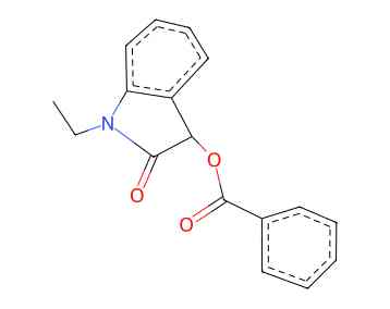 CCN1C(=O)C(OC(=O)c2ccccc2)c2ccccc21